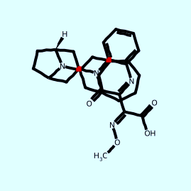 CO/N=C(\C(=O)O)c1nc2ccccc2n(C2CC3CC[C@H](C2)N3C2CC3CCCCC(C3)C2)c1=O